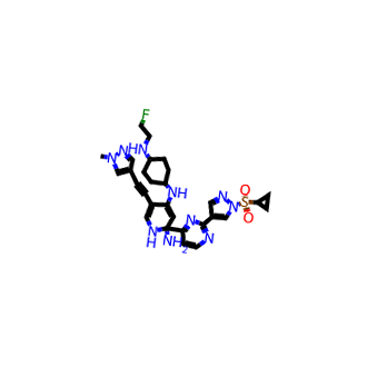 Cn1cc(C#CC2=CNC(N)(c3ccnc(-c4cnn(S(=O)(=O)C5CC5)c4)n3)C=C2NC2CCC(NCCF)CC2)cn1